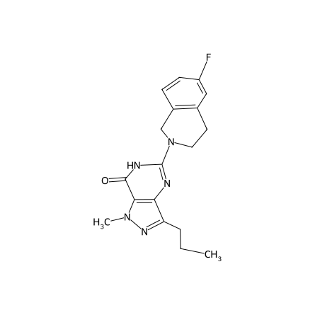 CCCc1nn(C)c2c(=O)[nH]c(N3CCc4cc(F)ccc4C3)nc12